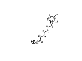 Cc1cnn(CCCCCCCC(C)(C)C)c1